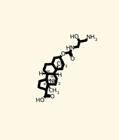 C[C@]12CCC(OC(=O)NCC(O)CN)CC1CC[C@@H]1[C@H]2CC[C@]2(C)C(C(=O)O)CC[C@@]12N